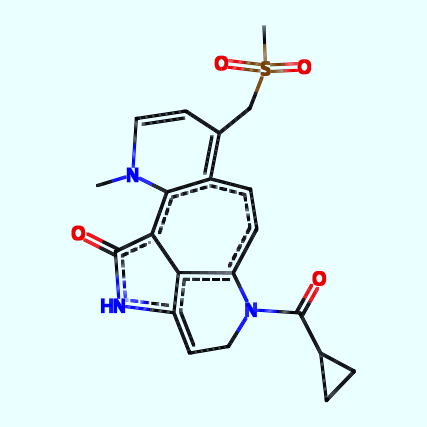 CN1C=CC(CS(C)(=O)=O)=c2ccc3c4c([nH]c(=O)c-4c21)=CCN3C(=O)C1CC1